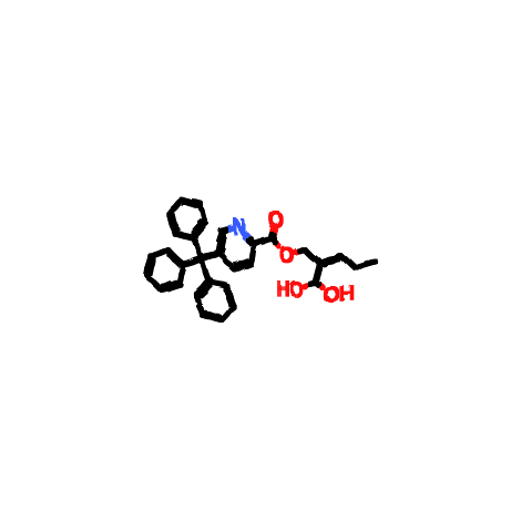 CCC=C(COC(=O)c1ccc(C(c2ccccc2)(c2ccccc2)c2ccccc2)cn1)C(O)O